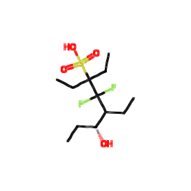 CCC([C@H](O)CC)C(F)(F)C(CC)(CC)S(=O)(=O)O